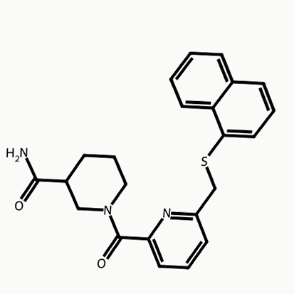 NC(=O)C1CCCN(C(=O)c2cccc(CSc3cccc4ccccc34)n2)C1